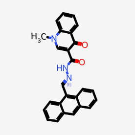 Cn1cc(C(=O)N/N=C/c2c3ccccc3cc3ccccc23)c(=O)c2ccccc21